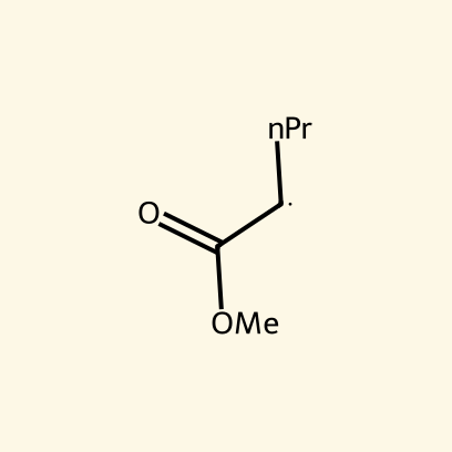 CCC[CH]C(=O)OC